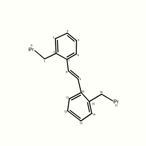 CC(C)Cc1ccccc1/C=C/c1ccccc1CC(C)C